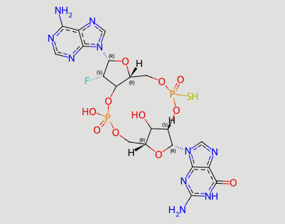 Nc1nc2c(ncn2[C@@H]2O[C@@H]3COP(=O)(O)OC4[C@@H](COP(=O)(S)O[C@H]2C3O)O[C@@H](n2cnc3c(N)ncnc32)[C@H]4F)c(=O)[nH]1